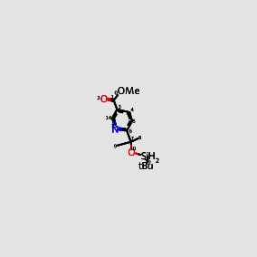 COC(=O)c1ccc(C(C)(C)O[SiH2]C(C)(C)C)nc1